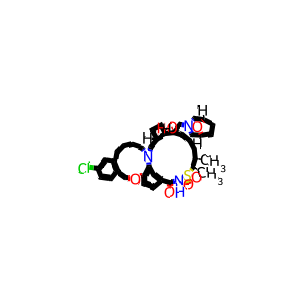 C[C@@H]1[C@@H](C)CCC[C@](O)(CN2C[C@H]3CC[C@@H](C2)O3)[C@@H]2CC[C@H]2CN2CCCCc3cc(Cl)ccc3COc3ccc(cc32)C(=O)NS1(=O)=O